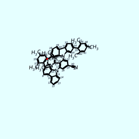 Cc1cc(C)c(-c2ccc3c4ccccc4n(-c4cc(C#N)cc(-n5c6ccccc6c6ccc(-c7c(C)cc(C)cc7C)cc65)c4-c4nc(C)nc(C)n4)c3c2)c(C)c1